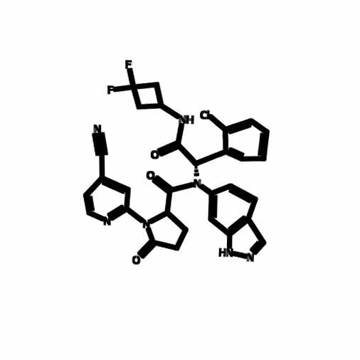 N#Cc1ccnc(N2C(=O)CCC2C(=O)N(c2ccc3cn[nH]c3c2)[C@H](C(=O)NC2CC(F)(F)C2)c2ccccc2Cl)c1